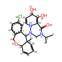 CC(C)N1CN(C2c3cc(Cl)ccc3COC3C=CC=CC32C)N2C=CC(O)C(O)=C2C1=O